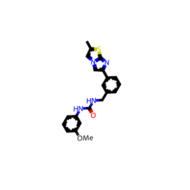 COc1cccc(NC(=O)NCc2cccc(-c3cn4cc(C)sc4n3)c2)c1